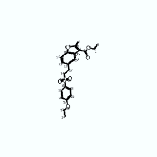 CCOC(=O)c1c(C)oc2ccc(CCS(=O)(=O)c3ccc(OCC)cc3)cc12